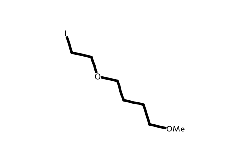 COCCCCOCCI